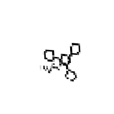 OOOSc1c(C2CCCCC2)cc(C2CCCCC2)cc1C1CCCCC1